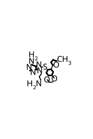 Cc1ccc(-c2cc3c(cc2Sc2nc4c(N)ncnc4n2CCCN)OCCO3)o1